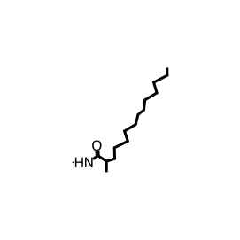 CCCCCCCCCCCCC(C)C([NH])=O